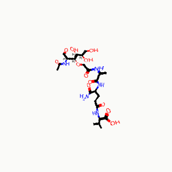 CC(=O)N[C@@H](C=O)[C@@H](OCC(=O)NC(C)C(=O)NC(CCC(=O)NC(C(=O)O)C(C)C)C(N)=O)[C@H](O)[C@H](O)CO